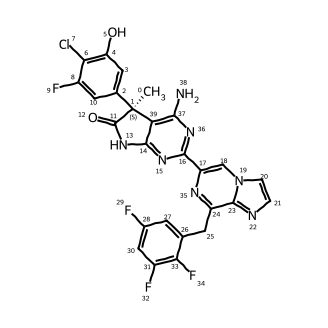 C[C@@]1(c2cc(O)c(Cl)c(F)c2)C(=O)Nc2nc(-c3cn4ccnc4c(Cc4cc(F)cc(F)c4F)n3)nc(N)c21